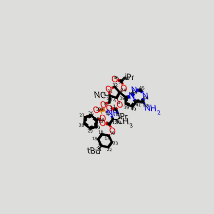 CC(C)C(=O)O[C@@H]1[C@@](C#N)(COP(=O)(N[C@@H](C)C(=O)O[C@H]2CC[C@H](C(C)(C)C)CC2)Oc2ccccc2)OC[C@@]1(OC(=O)C(C)C)c1ccc2c(N)ncnn12